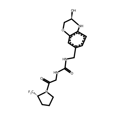 O=C(NCC(=O)N1CCC[C@@H]1C(F)(F)F)NCc1ccc2c(c1)OC[C@@H](O)N2